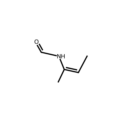 C/C=C(/C)NC=O